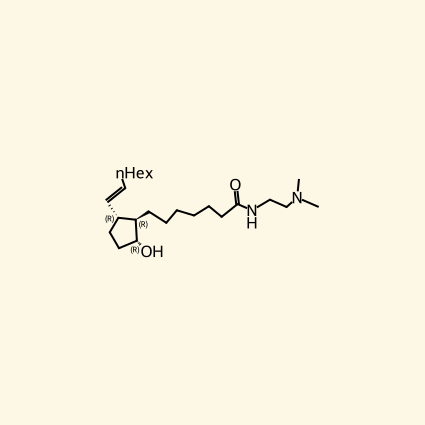 CCCCCCC=C[C@H]1CC[C@@H](O)[C@@H]1CCCCCCC(=O)NCCN(C)C